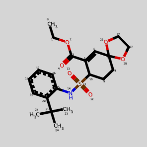 CCOC(=O)C1=CC2(CCC1S(=O)(=O)Nc1ccccc1C(C)(C)C)OCCO2